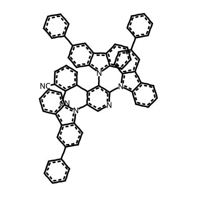 N#Cc1cccc(-c2c(-n3c4ccccc4c4cc(-c5ccccc5)ccc43)cnc(-n3c4ccccc4c4cc(-c5ccccc5)ccc43)c2-n2c3ccccc3c3cc(-c4ccccc4)ccc32)c1C#N